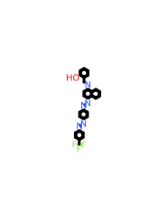 Oc1ccccc1/C=N/c1ccc(/N=N/c2ccc(/N=N/c3ccc(C(F)(F)F)cc3)cc2)c2ccccc12